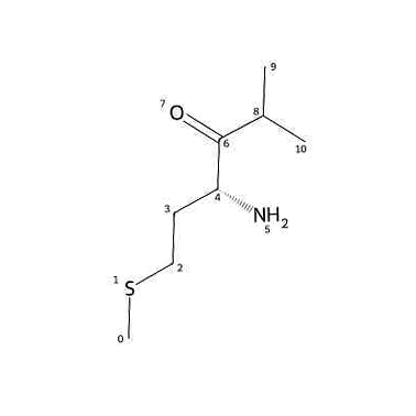 CSCC[C@@H](N)C(=O)C(C)C